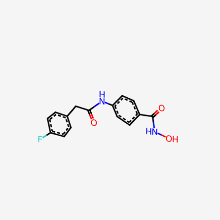 O=C(Cc1ccc(F)cc1)Nc1ccc(C(=O)NO)cc1